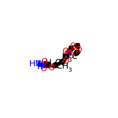 Cc1ccc(Oc2cccc(Oc3ccc(N4C(=O)c5ccc(Oc6ccc(C(C)(C)c7ccc(Oc8ccc9c(c8)C(=O)N(c8nc[nH]n8)C9=O)cc7)cc6)cc5C4=O)cc3)c2)cc1